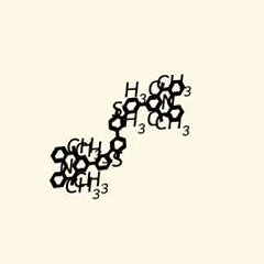 CC1(C)c2ccccc2N2c3ccccc3C(C)(C)c3cc(-c4ccc5sc6ccc(-c7ccc8sc9ccc(-c%10cc%11c%12c(c%10)C(C)(C)c%10ccccc%10N%12c%10ccccc%10C%11(C)C)cc9c8c7)cc6c5c4)cc1c32